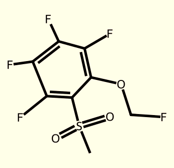 CS(=O)(=O)c1c(F)c(F)c(F)c(F)c1OCF